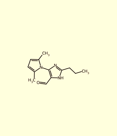 CCCc1nc(-n2c(C)ccc2C)c(C=O)[nH]1